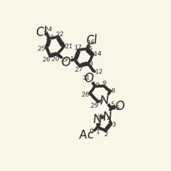 CC(=O)c1ccn(C(=O)N2CCC(OCc3cc(Cl)cc(Oc4ccc(Cl)cc4)c3)CC2)n1